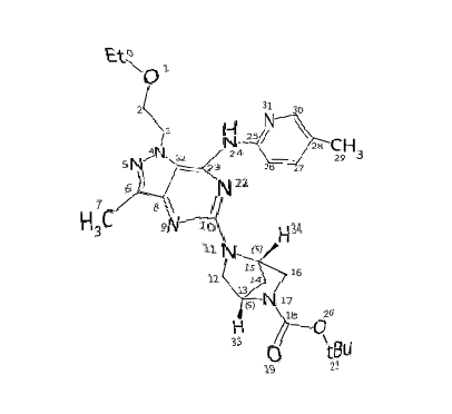 CCOCCn1nc(C)c2nc(N3C[C@@H]4C[C@H]3CN4C(=O)OC(C)(C)C)nc(Nc3ccc(C)cn3)c21